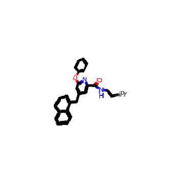 CC(C)CCNC(=O)c1cc(Cc2cccc3ccccc23)cc(Oc2ccccc2)n1